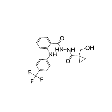 O=C(NNC(=O)C1(CO)CC1)c1ccccc1Nc1ccc(C(F)(F)F)cc1